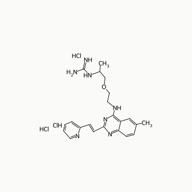 Cc1ccc2nc(C=Cc3ccccn3)nc(NCCOCC(C)NC(=N)N)c2c1.Cl.Cl.Cl